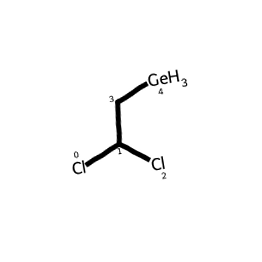 ClC(Cl)[CH2][GeH3]